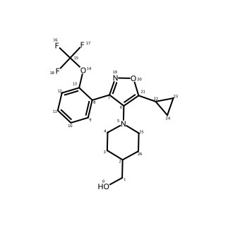 OCC1CCN(c2c(-c3ccccc3OC(F)(F)F)noc2C2CC2)CC1